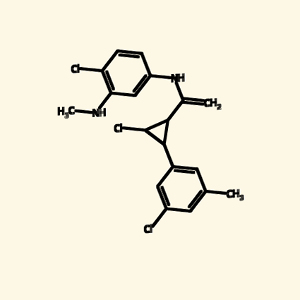 C=C(Nc1ccc(Cl)c(NC)c1)C1C(Cl)C1c1cc(C)cc(Cl)c1